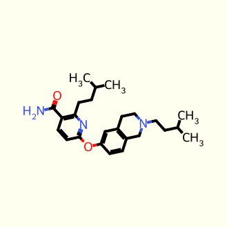 CC(C)CCc1nc(Oc2ccc3c(c2)CCN(CCC(C)C)C3)ccc1C(N)=O